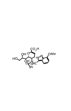 COc1cccc2c(C#N)n([C@H]3C=C(C(=O)O)O[C@@H]([C@H](O)[C@H](O)CO)[C@@H]3NC(=O)C(C)C)nc12